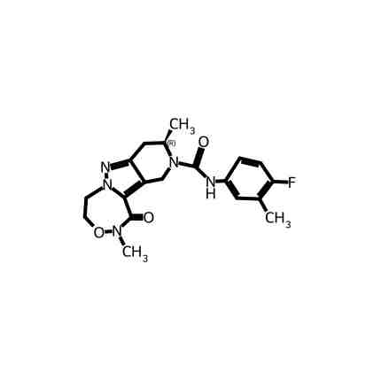 Cc1cc(NC(=O)N2Cc3c(nn4c3C(=O)N(C)OCC4)C[C@H]2C)ccc1F